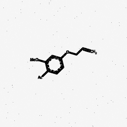 C=CCOc1ccc(C(C)=O)c(OC)c1